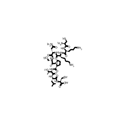 CC(C)C[C@H](NC(=O)[C@@H](NC(=O)[C@@H]1CCCN1C(=O)[C@H](CO)NC(=O)[C@H](CC(N)=O)NC(=O)[C@H](CCCCN)NC(=O)[C@H](CCCCN)NC(=O)[C@@H](N)CS)[C@@H](C)O)C(=O)N[C@@H](CS)C(=O)O